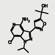 CC(C)n1nc(-c2cc(C(C)(C)O)on2)c2c(N)ncc(Cl)c21